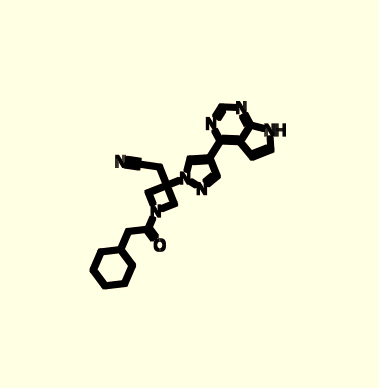 N#CCC1(n2cc(-c3ncnc4[nH]ccc34)cn2)CN(C(=O)CC2CCCCC2)C1